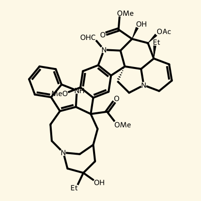 CCC1(O)CC2CN(CCc3c([nH]c4ccccc34)C(C(=O)OC)(c3cc4c(cc3OC)N(C=O)C3[C@]45CCN4CC=C[C@](CC)(C45)[C@H](OC(C)=O)[C@@]3(O)C(=O)OC)C2)C1